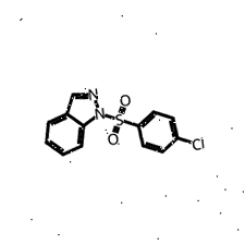 O=S(=O)(c1ccc(Cl)cc1)n1ncc2ccccc21